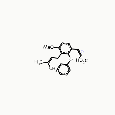 COc1ccc(/C=C\C(=O)O)c(Oc2ccccc2)c1CC=C(C)C